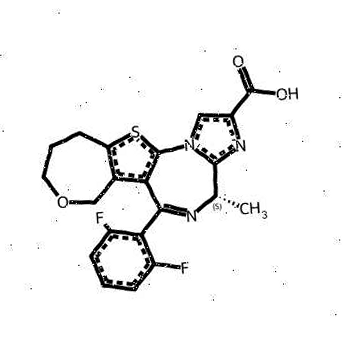 C[C@@H]1N=C(c2c(F)cccc2F)c2c(sc3c2COCCC3)-n2cc(C(=O)O)nc21